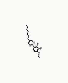 CCCCCCCc1cnc(-c2ccc(OCC)c(F)c2F)nc1